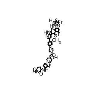 CCN(C)S(=O)(=O)Nc1ccc(F)c(C(=O)c2c[nH]c3ncc(-c4ccc(N5CCN(C(=O)CC6(O)CCN(c7ccc(NC8CCC(=O)NC8=O)cc7F)CC6)CC5)cc4C)cc23)c1F